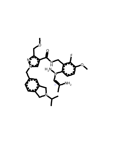 COCc1nn(Cc2ccc3c(c2)CN(C(C)C)C3)cc1C(=O)NCc1c(N(N)/C=C(/C)N)ccc(OC)c1F